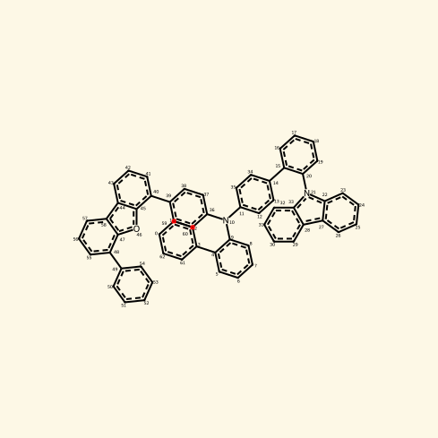 c1ccc(-c2ccccc2N(c2ccc(-c3ccccc3-n3c4ccccc4c4ccccc43)cc2)c2ccc(-c3cccc4c3oc3c(-c5ccccc5)cccc34)cc2)cc1